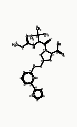 COC(=O)NC(C(=O)N1CC(COc2cccc(-c3cccs3)n2)CC1C(=O)O)C(C)(C)C